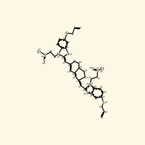 C=CCSc1ccc2c(c1)S/C(=C\C1=CC3=C/C(=C/c4sc5cc(SCC=C)ccc5[n+]4CCS(=S)CC)CCC3CC1)N2CCS(=S)CC